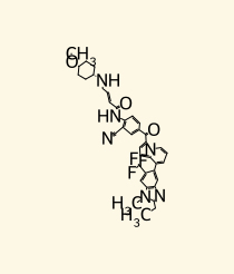 CCc1nc2cc(-c3cccn4c(C(=O)c5ccc(NC(=O)/C=C/CN[C@H]6CC[C@H](OC)CC6)c(C#N)c5)ccc34)c(C(F)(F)F)cc2n1C